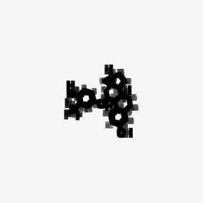 Nc1ccc(O[C@H]2C[C@]34C[C@H]3CCC4[C@@H]3CCc4cc(O)ccc4[C@@H]23)cc1C(F)(F)F